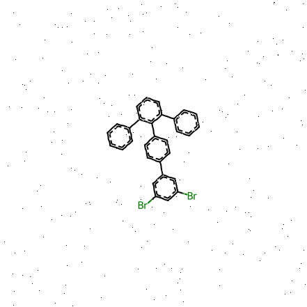 Brc1cc(Br)cc(-c2ccc(-c3c(-c4ccccc4)cccc3-c3ccccc3)cc2)c1